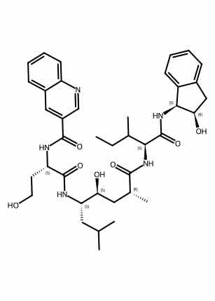 CCC(C)[C@H](NC(=O)[C@H](C)C[C@H](O)[C@H](CC(C)C)NC(=O)[C@H](CCO)NC(=O)c1cnc2ccccc2c1)C(=O)N[C@H]1c2ccccc2C[C@H]1O